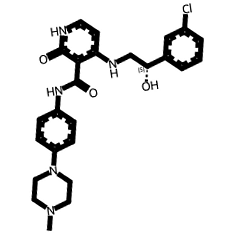 CN1CCN(c2ccc(NC(=O)c3c(NC[C@@H](O)c4cccc(Cl)c4)cc[nH]c3=O)cc2)CC1